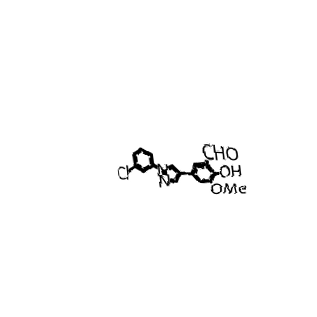 COc1cc(-c2cnn(-c3cccc(Cl)c3)c2)cc(C=O)c1O